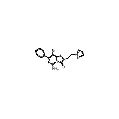 Nc1nc(-c2ccccc2)c(Br)c2nn(CCn3cccn3)c(=O)n12